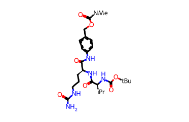 CNC(=O)OCc1ccc(NC(=O)[C@H](CCCNC(N)=O)NC(=O)[C@@H](NC(=O)OC(C)(C)C)C(C)C)cc1